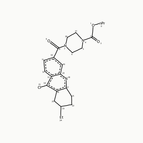 CCCOC(=O)N1CCN(C(=O)c2ccc3c(Cl)c4c(nc3c2)CCC(CC)C4)CC1